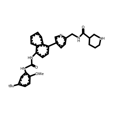 COc1ccc(C(C)(C)C)cc1NC(=O)Nc1ccc(-c2ccc(CNC(=O)C3CCCNC3)nc2)c2ccccc12